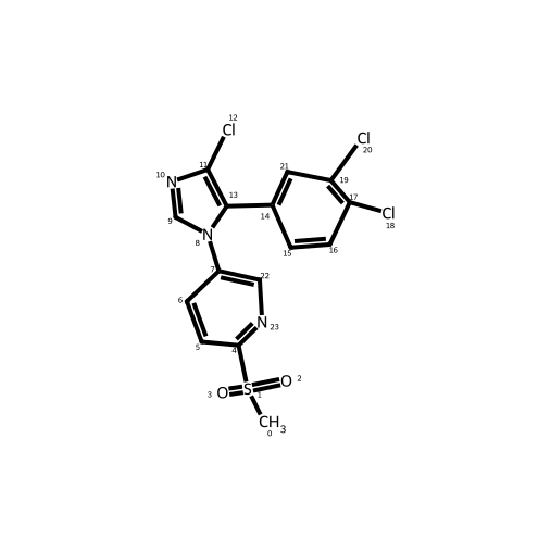 CS(=O)(=O)c1ccc(-n2cnc(Cl)c2-c2ccc(Cl)c(Cl)c2)cn1